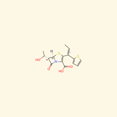 C/C=C(\C1=C(C(=O)O)N2C(=O)[C@H](C(C)O)[C@H]2S1)c1cccs1